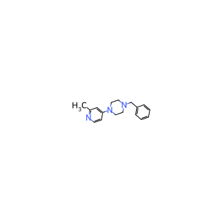 Cc1cc(N2CCN(Cc3ccccc3)CC2)ccn1